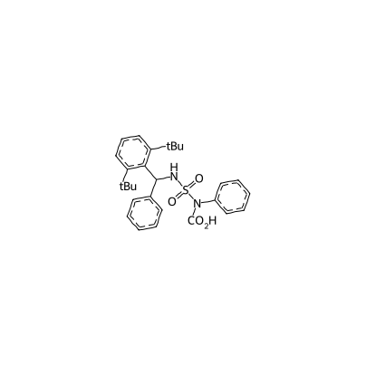 CC(C)(C)c1cccc(C(C)(C)C)c1C(NS(=O)(=O)N(C(=O)O)c1ccccc1)c1ccccc1